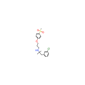 CC(C)(Cc1cccc(Cl)c1)NCCCOc1ccc(S(C)(=O)=O)cc1